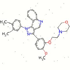 COc1ccc(-c2nn(-c3ccc(C)c(C)c3)c3c2cnc2ccccc23)cc1OCCN1CCOCC1